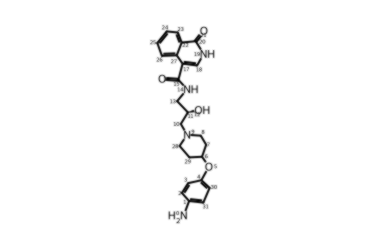 Nc1ccc(OC2CCN(C[C@H](O)CNC(=O)c3c[nH]c(=O)c4ccccc34)CC2)cc1